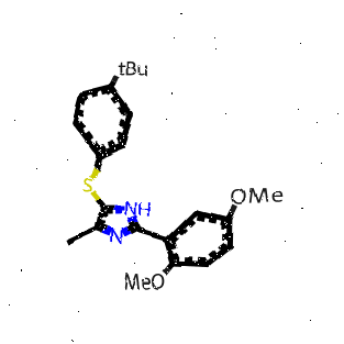 COc1ccc(OC)c(-c2nc(C)c(Sc3ccc(C(C)(C)C)cc3)[nH]2)c1